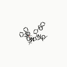 C=C(OCC)c1cc2c(c(-c3cccc(-c4cc5ccccc5o4)c3)n1)[C@@H](CCO[Si](c1ccccc1)(c1ccccc1)C(C)(C)C)N([S@+]([O-])C(C)(C)C)C2